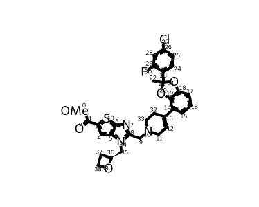 COC(=O)c1cc2c(nc(CN3CC=C(c4cccc5c4OC(C)(c4ccc(Cl)cc4F)O5)CC3)n2C[C@@H]2CCO2)s1